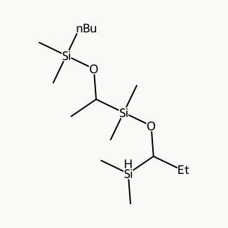 CCCC[Si](C)(C)OC(C)[Si](C)(C)OC(CC)[SiH](C)C